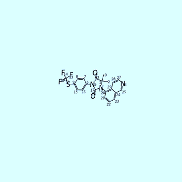 CC1(C)C(=O)N(c2ccc(SC(F)(F)F)cc2)C(=O)N1c1cccc2cnccc12